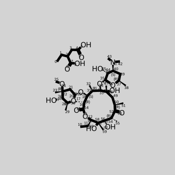 CCC(CC(=O)O)C(=O)O.CC[C@H]1OC(=O)[C@H](C)[C@@H](O[C@H]2C[C@@](C)(OC)[C@@H](O)[C@H](C)O2)[C@@H](C)[C@@H](O[C@@H]2O[C@H](C)C[C@H](N(C)C)[C@H]2O)[C@](C)(O)C[C@@H](C)C(=O)[C@H](C)[C@H](O)[C@]1(C)O